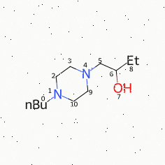 CCCCN1CCN(CC(O)CC)CC1